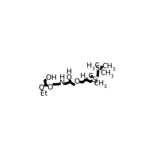 CCOC(CO)OCCNCC(O)COCCC[Si](C)(C)CC[Si](C)(C)C